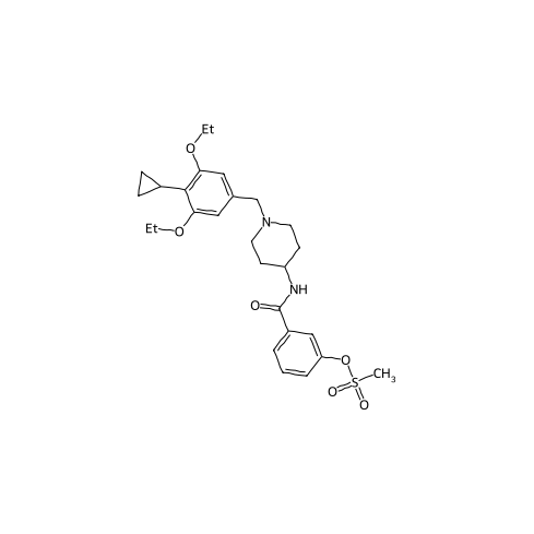 CCOc1cc(CN2CCC(NC(=O)c3cccc(OS(C)(=O)=O)c3)CC2)cc(OCC)c1C1CC1